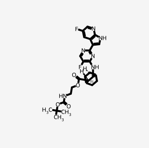 CC(C)(C)OC(=O)NCCOC(=O)[C@H]1C2CCC(CC2)[C@@H]1Nc1nc(-c2c[nH]c3ncc(F)cc23)ncc1F